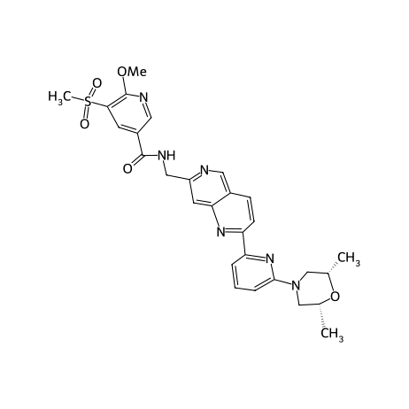 COc1ncc(C(=O)NCc2cc3nc(-c4cccc(N5C[C@@H](C)O[C@@H](C)C5)n4)ccc3cn2)cc1S(C)(=O)=O